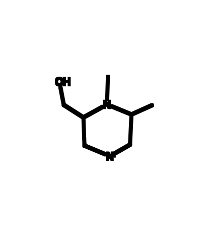 CC1C[N]CC(CO)N1C